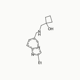 CCc1cn2cc(CNCC3(O)CCC3)ccc2n1